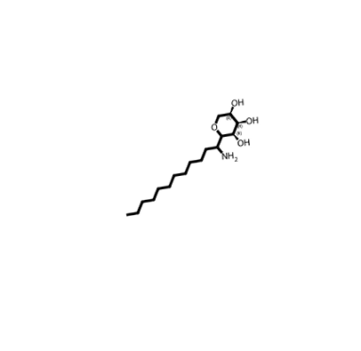 CCCCCCCCCCCC(N)C1OC[C@@H](O)[C@@H](O)[C@H]1O